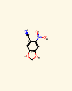 N#Cc1cc2c(cc1[N+](=O)[O-])OCO2